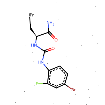 CC(C)C[C@H](NC(=O)Nc1ccc(Br)cc1F)C(N)=O